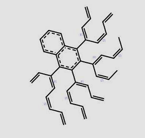 C=C/C=C\C=C(/C=C)c1c(C(/C=C\C=C)=C/C=C)c(C(/C=C\C)=C/C=C\C)c(C(/C=C\C=C)=C/C=C)c2ccccc12